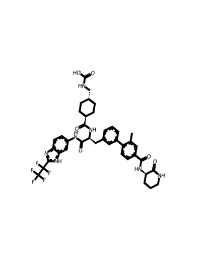 Cc1cc(C(=O)N[C@@H]2CCCNC2=O)ccc1-c1cccc(C[C@H](NC(=O)[C@H]2CC[C@H](CNC(=O)O)CC2)C(=O)Nc2ccc3nc(C(F)(F)C(F)(F)F)[nH]c3c2)c1